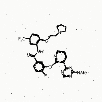 CNc1ncnc(-c2cccnc2Oc2cc(C(=O)NC3=C(OCCN4CCCC4)C=CC(C(F)(F)F)C3)ccc2F)n1